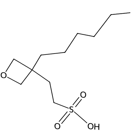 CCCCCCC1(CCS(=O)(=O)O)COC1